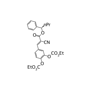 CCC[C@@H](OC(=O)/C(C#N)=C/c1ccc(OC(=O)OCC)c(OC(=O)OCC)c1)c1ccccc1